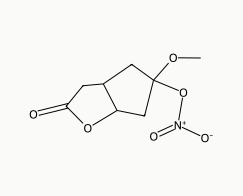 COC1(O[N+](=O)[O-])CC2CC(=O)OC2C1